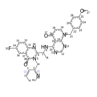 C/C=C\C(Cn1c(C(C)Nc2ncnc3c2c(=O)ccn3Cc2ccc(OC)cc2)nc2ccc(F)cc2c1=O)=N/C